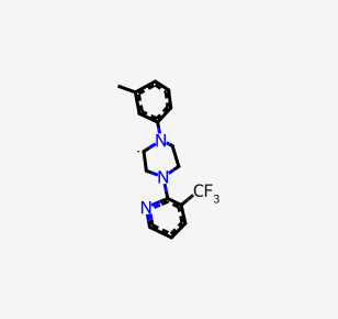 Cc1cccc(N2[CH]CN(c3ncccc3C(F)(F)F)CC2)c1